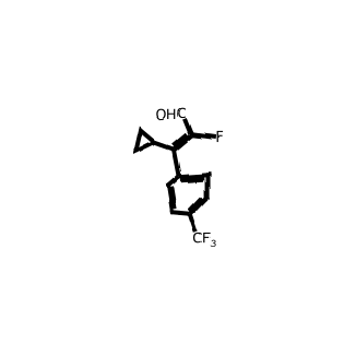 O=CC(F)=C(c1ccc(C(F)(F)F)cc1)C1CC1